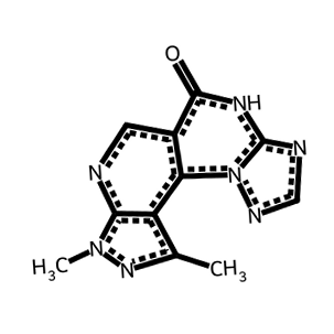 Cc1nn(C)c2ncc3c(=O)[nH]c4ncnn4c3c12